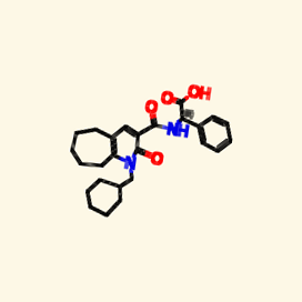 O=C(N[C@@H](C(=O)O)c1ccccc1)c1cc2c(n(CC3CCCCC3)c1=O)CCCCC2